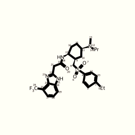 CCc1ccc(S(=O)(=O)C[C@@H]2C[C@H](N(C)C(C)C)CC[C@@H]2NC(=O)Cc2nc3c(C(F)(F)F)cccc3[nH]2)cc1